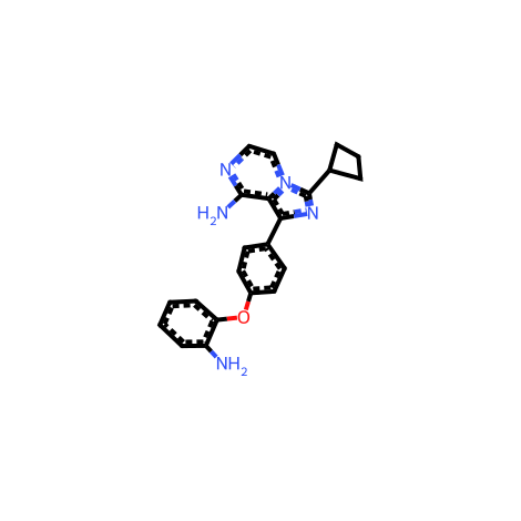 Nc1ccccc1Oc1ccc(-c2nc(C3CCC3)n3ccnc(N)c23)cc1